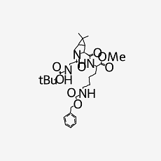 COC(=O)C(CCCCNC(=O)OCc1ccccc1)NC(=O)[C@@H]1C2C(CN1C(=O)CNC(=O)OC(C)(C)C)C2(C)C